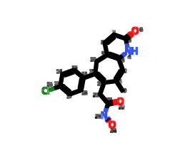 CC1=Cc2[nH]c(=O)ccc2CC(c2ccc(Cl)cc2)=C1CC(=O)N=O